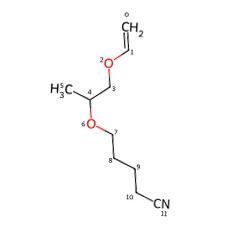 C=COCC(C)OCCCCC#N